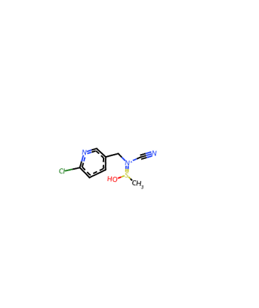 CS(O)=[N+](C#N)Cc1ccc(Cl)nc1